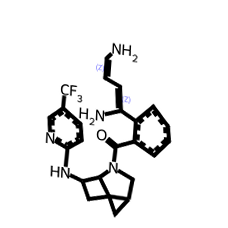 N/C=C\C=C(/N)c1ccccc1C(=O)N1CC2CC23CC(Nc2ccc(C(F)(F)F)cn2)C13